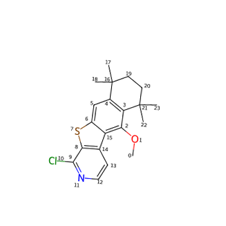 COc1c2c(cc3sc4c(Cl)nccc4c13)C(C)(C)CCC2(C)C